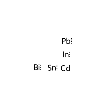 [Bi].[Cd].[In].[Pb].[Sn]